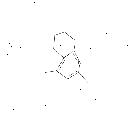 Cc1cc(C)c2c(n1)CCCC2